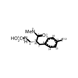 CNC(=O)[C@@H](CNC(=O)O)Cc1ccc(F)cc1